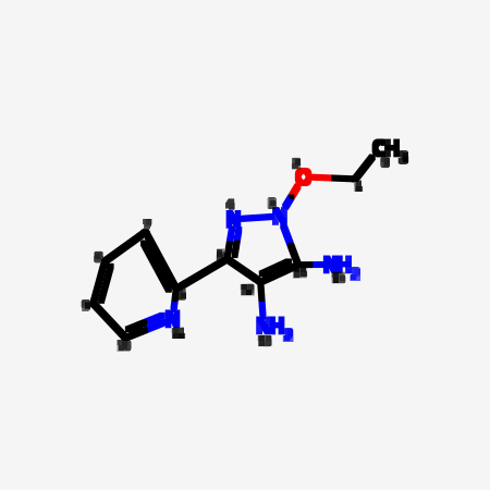 CCOn1nc(-c2ccccn2)c(N)c1N